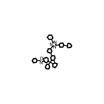 c1ccc(-c2ccc(-c3nc(-c4ccccc4)nc(-c4cccc(-c5ccc6c(c5)C(c5ccccc5)(c5ccc7oc(-c8ccccc8)nc7c5)c5ccccc5-6)c4)n3)cc2)cc1